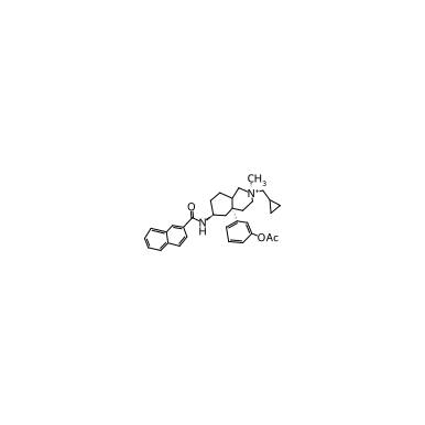 CC(=O)Oc1cccc([C@@]23CC[N@+](C)(CC4CC4)CC2CC[C@H](NC(=O)c2ccc4ccccc4c2)C3)c1